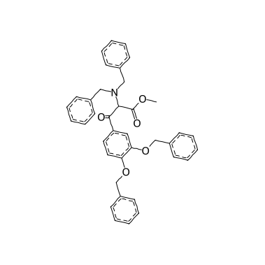 COC(=O)C(C(=O)c1ccc(OCc2ccccc2)c(OCc2ccccc2)c1)N(Cc1ccccc1)Cc1ccccc1